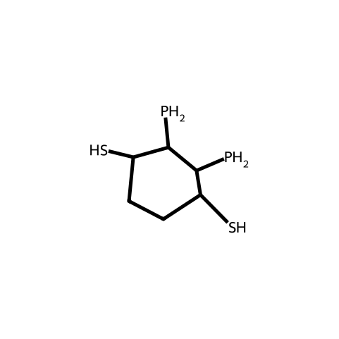 PC1C(S)CCC(S)C1P